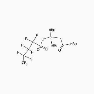 CCCCC(=O)CS(CCCC)(CCCC)OS(=O)(=O)C(F)(F)C(F)(F)C(F)(F)C(F)(F)F